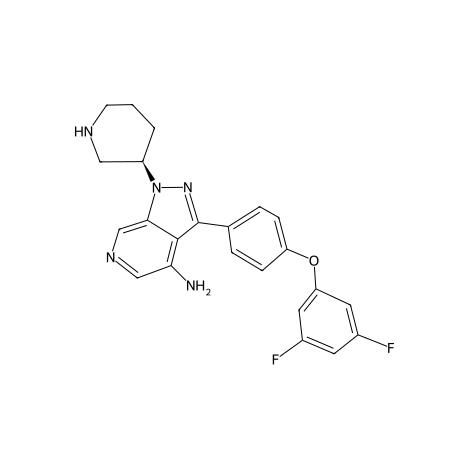 Nc1cncc2c1c(-c1ccc(Oc3cc(F)cc(F)c3)cc1)nn2[C@@H]1CCCNC1